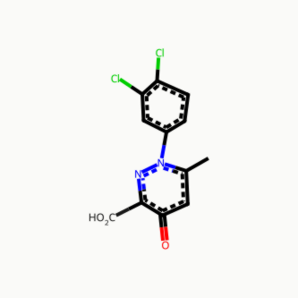 Cc1cc(=O)c(C(=O)O)nn1-c1ccc(Cl)c(Cl)c1